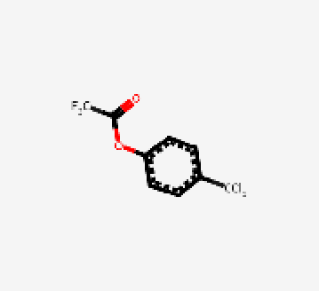 O=C(Oc1ccc(C(Cl)(Cl)Cl)cc1)C(F)(F)F